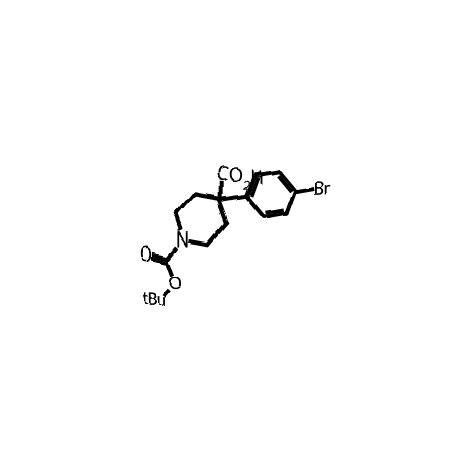 CC(C)(C)OC(=O)N1CCC(C(=O)O)(c2ccc(Br)cc2)CC1